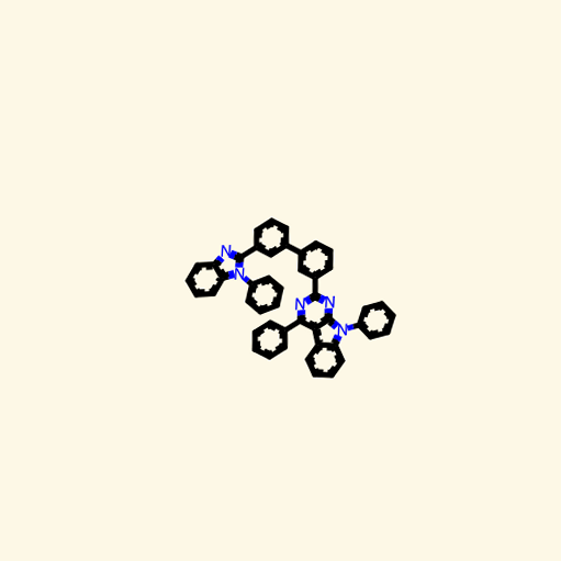 c1ccc(-c2nc(-c3cccc(-c4cccc(-c5nc6ccccc6n5-c5ccccc5)c4)c3)nc3c2c2ccccc2n3-c2ccccc2)cc1